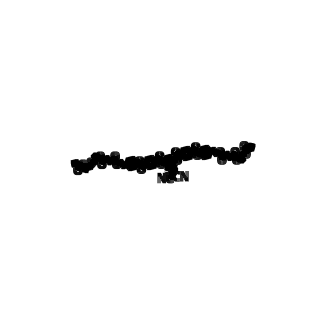 C=CC(=O)OCC(C)OC(=O)CCC(=O)OCCc1ccc(OC(=O)[C@H]2CC[C@H](C(=O)Oc3ccc(OC(=O)[C@H]4CC[C@H](C(=O)Oc5ccc(CCOC(=O)CCC(=O)OC(C)COCC(C)OC(=O)C=C)cc5)CC4)c4c3SC(=C(C#N)C#N)S4)CC2)cc1